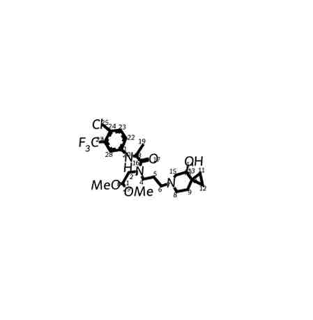 COC(CN(CCCN1CCC2(CC2)[C@H](O)C1)C(=O)C(C)Nc1ccc(Cl)c(C(F)(F)F)c1)OC